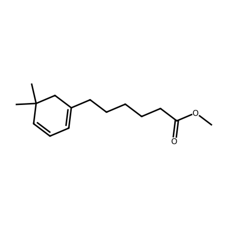 COC(=O)CCCCCC1=CC=CC(C)(C)C1